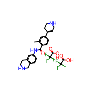 Cc1cc(C2=CCNCC2)ccc1C(=O)Nc1ccc2c(c1)CCNC2.O=C(O)C(F)(F)F.O=C(O)C(F)(F)F